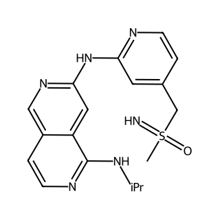 CC(C)Nc1nccc2cnc(Nc3cc(CS(C)(=N)=O)ccn3)cc12